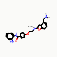 CCN(CC)Cc1cccc2oc(N(C=O)CCOc3ccc(C(=O)Nc4ccccc4N)cc3)cc12